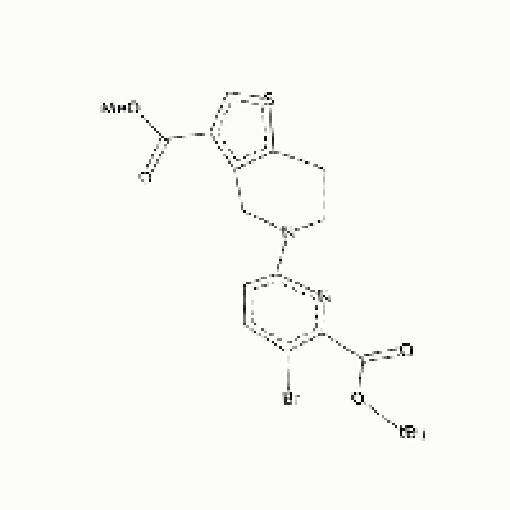 COC(=O)c1csc2c1CN(c1ccc(Br)c(C(=O)OC(C)(C)C)n1)CC2